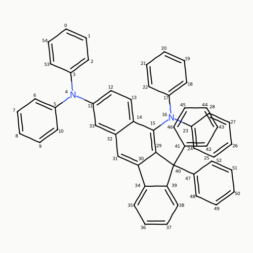 c1ccc(N(c2ccccc2)c2ccc3c(N(c4ccccc4)c4ccccc4)c4c(cc3c2)-c2ccccc2C4(c2ccccc2)c2ccccc2)cc1